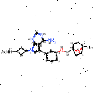 CC(=O)NC1CC(n2cc(-c3cccc(OC[C@]45CC[C@H](CC4)O5)c3)c3c(N)ncnc32)C1